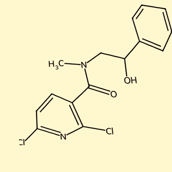 CN(CC(O)c1ccccc1)C(=O)c1ccc(Cl)nc1Cl